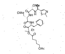 CC[C@@](C)(OC(=O)CCCCOC(C)=O)C(=O)[C@H](Cc1ccccc1)NC(=O)[C@H](COC)NC(=O)[C@H](COC)NC(=O)c1cnc(C)s1